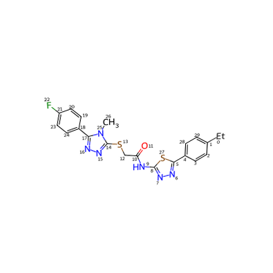 CCc1ccc(-c2nnc(NC(=O)CSc3nnc(-c4ccc(F)cc4)n3C)s2)cc1